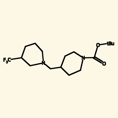 CC(C)(C)OC(=O)N1CCC(CN2CCCC(C(F)(F)F)C2)CC1